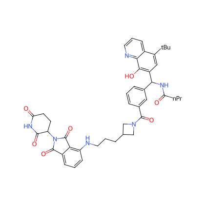 CCCC(=O)NC(c1cccc(C(=O)N2CC(CCCNc3cccc4c3C(=O)N(C3CCC(=O)NC3=O)C4=O)C2)c1)c1cc(C(C)(C)C)c2cccnc2c1O